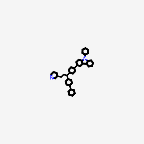 c1ccc(-c2ccc(C(CCc3cccnc3)c3ccc(-c4ccc5c(c4)c4ccccc4n5-c4ccccc4)cc3)cc2)cc1